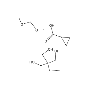 CCC(CO)(CO)CO.COCOC.O=C(O)C1CC1